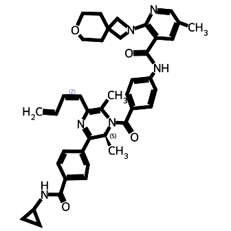 C=C/C=C\C1=C(C)N(C(=O)c2ccc(NC(=O)c3cc(C)cnc3N3CC4(CCOCC4)C3)cc2)[C@@H](C)C(c2ccc(C(=O)NC3CC3)cc2)=N1